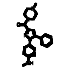 CNc1ccc(-n2nc(C(=O)N3CCN(C)CC3)cc2-c2ccccc2)cn1